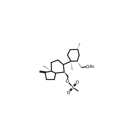 C=C1CCC2[C@H](COS(C)(=O)=O)C([C@@]3(C)CC[C@H](C)C[C@@H]3COC(C)=O)CC[C@]12C